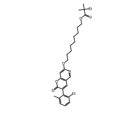 CCc1cccc(C)c1-c1cc2cnc(OCCCCCCCCCOC(=O)C(C)(C)CC)cc2oc1=O